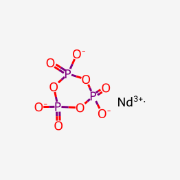 O=P1([O-])OP(=O)([O-])OP(=O)([O-])O1.[Nd+3]